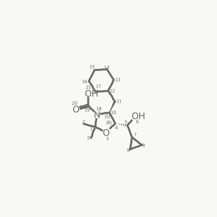 CC1(C)O[C@@H](C(O)C2CC2)[C@H](CC2CCCCC2)N1C(=O)O